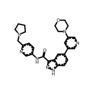 O=C(Nc1ccc(CN2CCCC2)nc1)c1n[nH]c2ccc(-c3cncc(N4CCOCC4)c3)cc12